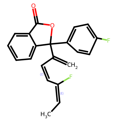 C=C(/C=C\C(F)=C/C)C1(c2ccc(F)cc2)OC(=O)c2ccccc21